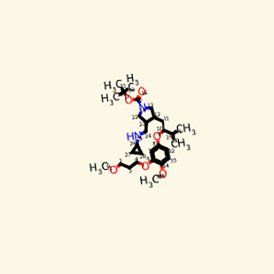 COCCCOc1cc(O[C@@H](CC2CN(C(=O)OC(C)(C)C)CC2CNC2CC2)C(C)C)ccc1OC